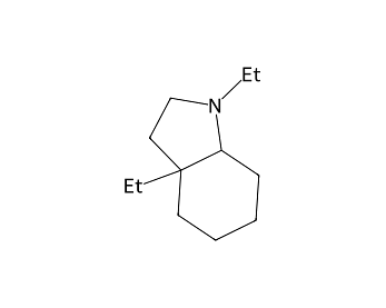 CCN1CCC2(CC)CCCCC12